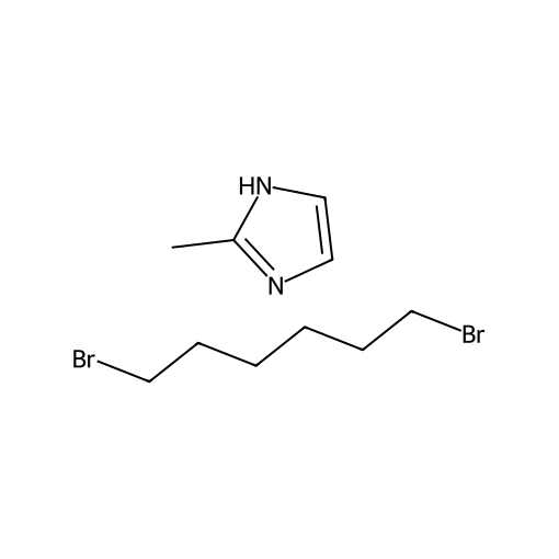 BrCCCCCCBr.Cc1ncc[nH]1